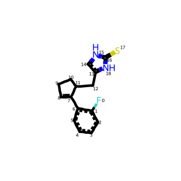 Fc1ccccc1C1=CCCC1Cc1c[nH]c(=S)[nH]1